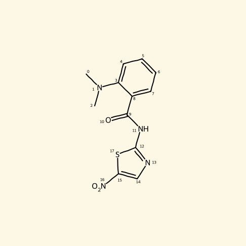 CN(C)c1ccccc1C(=O)Nc1ncc([N+](=O)[O-])s1